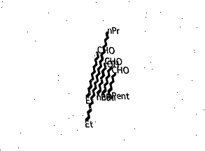 CCC=CC=CCCCCCCCCCC=O.CCC=CC=CCCCCCCCCCCCCCC=CCCCCC=CCCC.CCCCC=CCCCC=CCCC=O.CCCCC=CCCCCCCO.CCCCCC=CCCCCC=O